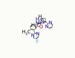 Cc1ccc(NC(=O)N2[C@H]3C[C@H](C)C[C@]2(c2ncccn2)C3)cc1-c1ncc(F)cn1